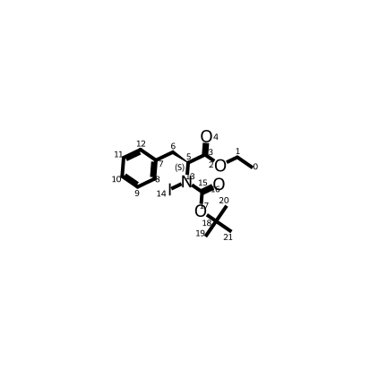 CCOC(=O)[C@H](Cc1ccccc1)N(I)C(=O)OC(C)(C)C